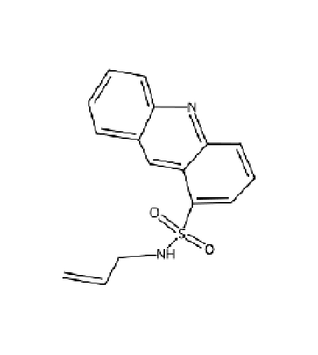 C=CCNS(=O)(=O)c1cccc2nc3ccccc3cc12